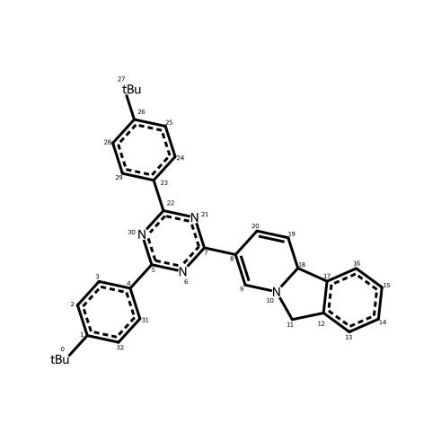 CC(C)(C)c1ccc(-c2nc(C3=CN4Cc5ccccc5C4C=C3)nc(-c3ccc(C(C)(C)C)cc3)n2)cc1